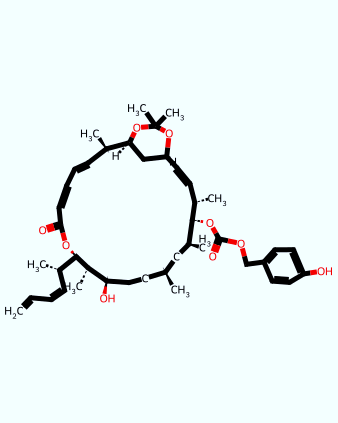 C=C/C=C\[C@H](C)[C@@H]1OC(=O)/C=C\C=C\[C@@H](C)[C@@H]2C[C@@H](/C=C\[C@H](C)[C@H](OC(=O)OCc3ccc(O)cc3)[C@@H](C)C[C@@H](C)CC[C@@H](O)[C@@H]1C)OC(C)(C)O2